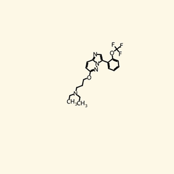 CCN(CC)CCCOc1ccc2ncc(-c3ccccc3OC(F)(F)F)n2n1